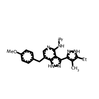 CCc1[nH]nc(-c2n[nH]c3c(Cc4ccc(OC)cc4)cnc(NC(C)C)c23)c1C